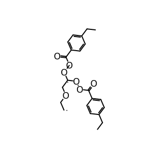 [CH2]COC[C](OOC(=O)c1ccc(CC)cc1)OOC(=O)c1ccc(CC)cc1